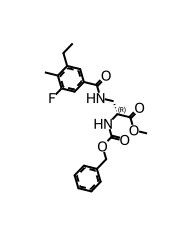 CCc1cc(C(=O)NC[C@@H](NC(=O)OCc2ccccc2)C(=O)OC)cc(F)c1C